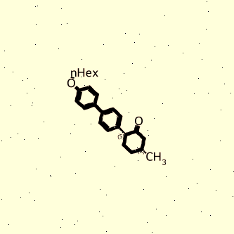 CCCCCCOc1ccc(-c2ccc([C@@H]3CC[C@@H](C)CC3=O)cc2)cc1